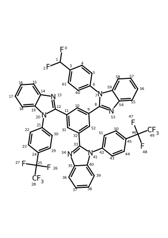 FC(F)c1ccc(-n2c(-c3cc(-c4nc5ccccc5n4-c4ccc(C(F)(F)C(F)(F)F)cc4)cc(-c4nc5ccccc5n4-c4ccc(C(F)(F)C(F)(F)F)cc4)c3)nc3ccccc32)cc1